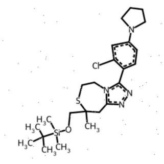 CC1(CO[Si](C)(C)C(C)(C)C)Cc2nnc(-c3ccc(N4CCCC4)cc3Cl)n2CCS1